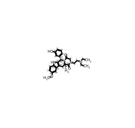 CCN(CC)CCN1CC(=O)N2[C@H](c3cccc(O)c3)c3[nH]c4ccc(OC)cc4c3C[C@@]2(C)C1=O